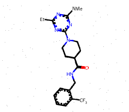 CCc1nc(NC)nc(N2CCC(C(=O)NCc3ccccc3C(F)(F)F)CC2)n1